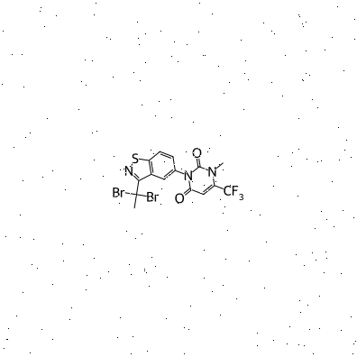 Cn1c(C(F)(F)F)cc(=O)n(-c2ccc3snc(C(C)(Br)Br)c3c2)c1=O